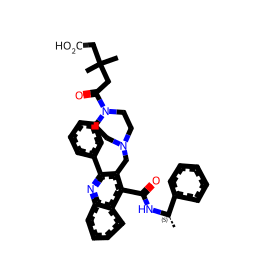 C[C@H](NC(=O)c1c(CN2CCN(C(=O)CC(C)(C)CC(=O)O)CC2)c(-c2ccccc2)nc2ccccc12)c1ccccc1